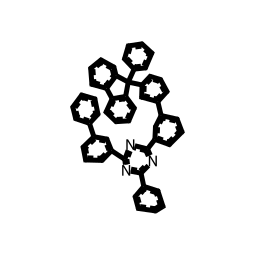 c1ccc(-c2cccc(-c3nc(-c4ccccc4)nc(-c4cccc(-c5cccc(C6(c7ccccc7)c7ccccc7-c7ccccc76)c5)c4)n3)c2)cc1